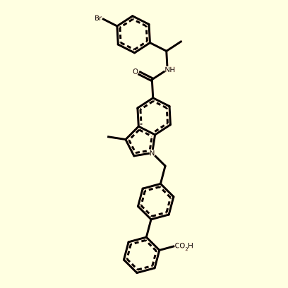 Cc1cn(Cc2ccc(-c3ccccc3C(=O)O)cc2)c2ccc(C(=O)NC(C)c3ccc(Br)cc3)cc12